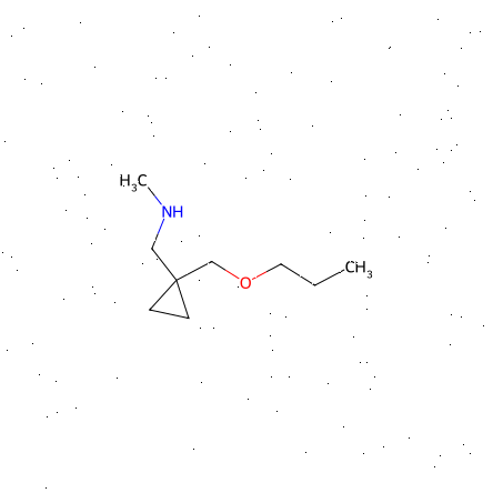 CCCOCC1(CNC)CC1